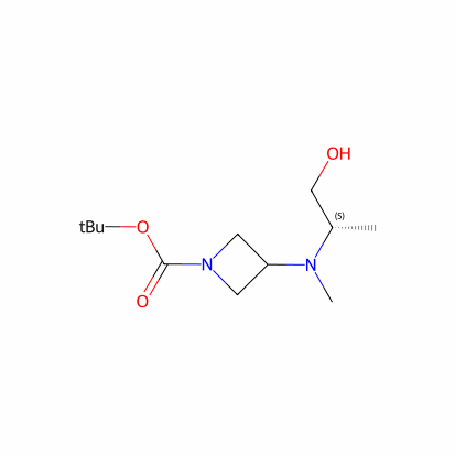 C[C@@H](CO)N(C)C1CN(C(=O)OC(C)(C)C)C1